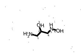 NCC(O)CNO